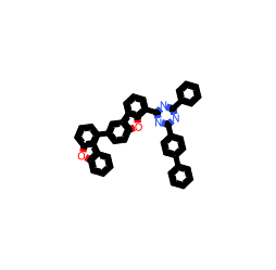 c1ccc(-c2ccc(-c3nc(-c4ccccc4)nc(-c4cccc5c4oc4ccc(-c6cccc7oc8ccccc8c67)cc45)n3)cc2)cc1